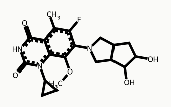 COc1c(N2CC3CC(O)C(O)C3C2)c(F)c(C)c2c(=O)[nH]c(=O)n(C3CC3)c12